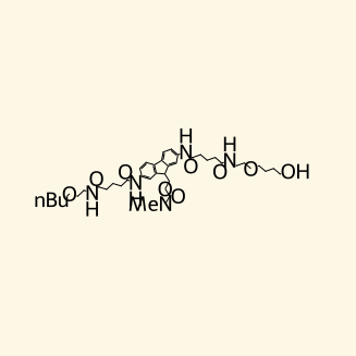 CCCCOCCNC(=O)CCCC(=O)Nc1ccc2c(c1)C(COC(=O)NC)c1cc(NC(=O)CCCC(=O)NCCOCCCCO)ccc1-2